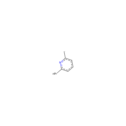 [CH2]c1cccc(CCC)n1